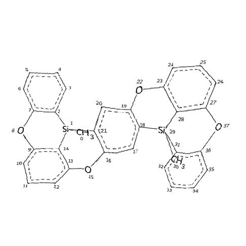 C[Si]12c3ccccc3Oc3cccc(c31)Oc1cc3c(cc12)Oc1cccc2c1[Si]3(C)c1ccccc1O2